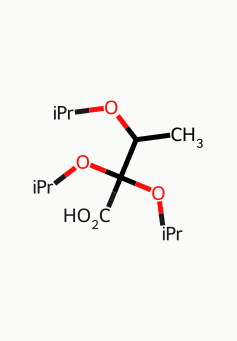 CC(C)OC(C)C(OC(C)C)(OC(C)C)C(=O)O